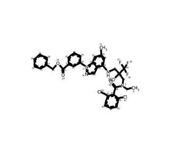 CCN(CC(O)(CNc1cc(C)cc2c1cnn2-c1cccc(C(=O)OCc2ccccc2)c1)C(F)(F)F)C(=O)c1c(Cl)cccc1Cl